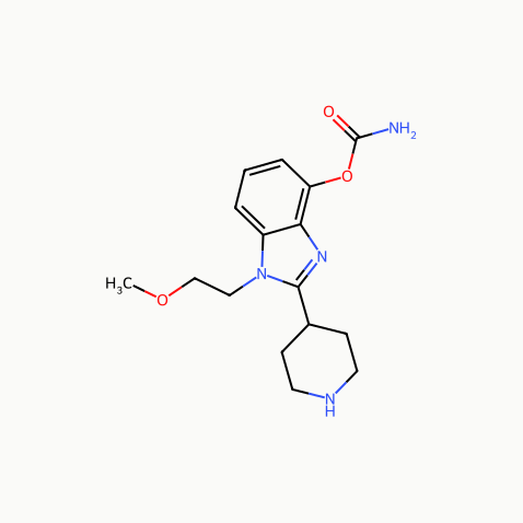 COCCn1c(C2CCNCC2)nc2c(OC(N)=O)cccc21